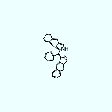 C1=N/C(=C(/c2ccccc2)c2[nH]cc3cc4ccccc4cc23)c2cc3ccccc3cc21